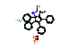 CC(C)CNC1(c2ccccc2)[C]([Ru+3])=C(c2ccccc2)C(c2ccccc2)=C1c1ccccc1.[C]=O.[C]=O.[Cl-].[Cl-].[Cl-]